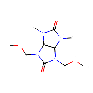 CCCOCN1C(=O)N(COCCC)C2C1N(CC)C(=O)N2CC